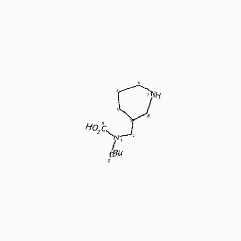 CC(C)(C)N(CC1CCCNC1)C(=O)O